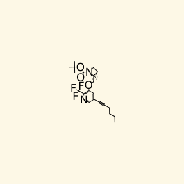 CCCCC#Cc1cnc(C(F)(F)F)c(OC[C@@H]2CCN2C(=O)OC(C)(C)C)c1